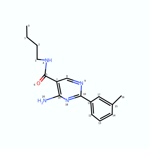 CCCCNC(=O)c1cnc(-c2cccc(C)c2)nc1N